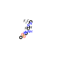 O=S(=O)(c1ccccc1)c1ccc(N[C@@H]2C[C@@H]3CN(Cc4ncccc4C(F)(F)F)C[C@@H]3C2)nn1